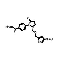 CCCCCC(F)c1ccc(N2C(=O)CC[C@@H]2COCc2cc(C(=O)O)cs2)cc1